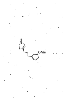 COc1cccc(CCCN2CCNCC2)c1